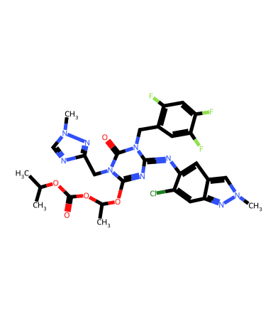 CC(C)OC(=O)OC(C)Oc1n/c(=N\c2cc3cn(C)nc3cc2Cl)n(Cc2cc(F)c(F)cc2F)c(=O)n1Cc1ncn(C)n1